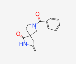 C=C1CC2(CCN(C(=O)c3ccccc3)C2)C(=O)N1